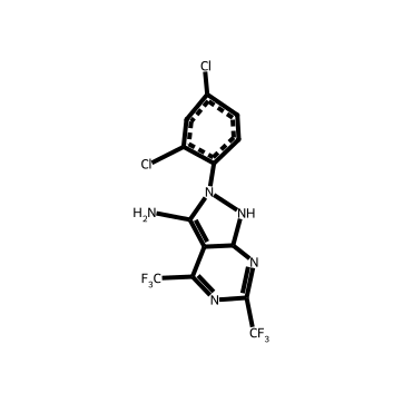 NC1=C2C(C(F)(F)F)=NC(C(F)(F)F)=NC2NN1c1ccc(Cl)cc1Cl